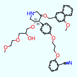 COCCOCC(O)CO[C@@H]1CNC[C@H](OCc2cc(OC)c3ccccc3c2)[C@H]1c1ccc(OCCCOc2ccccc2C#N)cc1